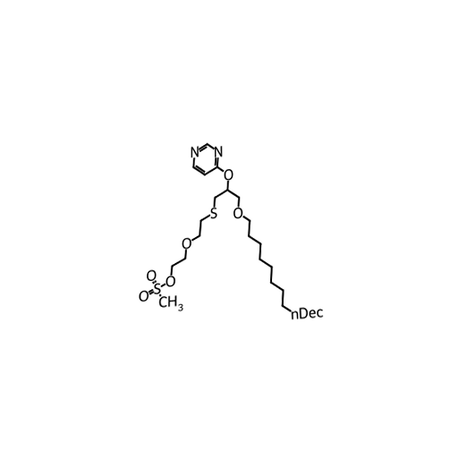 CCCCCCCCCCCCCCCCCCOCC(CSCCOCCOS(C)(=O)=O)Oc1ccncn1